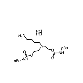 CCCCNC(=O)OCCN(CCCCN)CCOC(=O)NCCCC.Cl.Cl